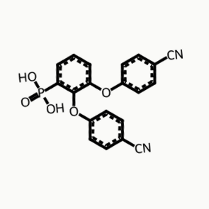 N#Cc1ccc(Oc2cccc(P(=O)(O)O)c2Oc2ccc(C#N)cc2)cc1